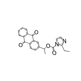 CCc1nccn1C(=O)OC(C)c1ccc2c(c1)C(=O)c1ccccc1C2=O